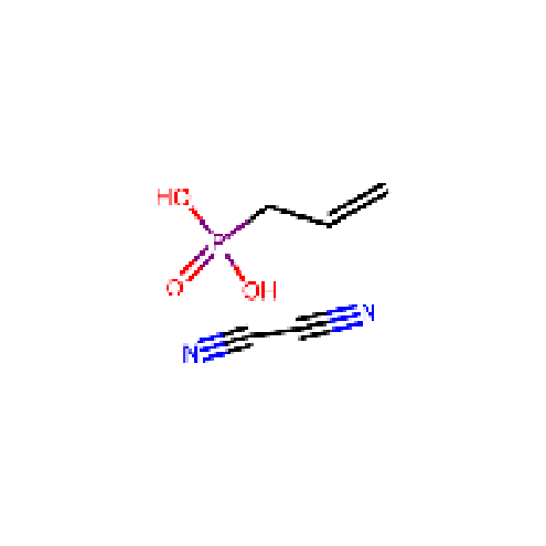 C=CCP(=O)(O)O.N#CC#N